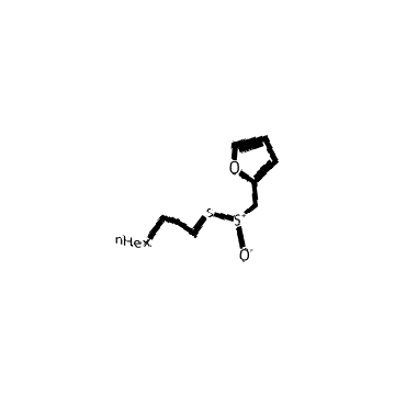 CCCCCCCCS[S+]([O-])Cc1ccco1